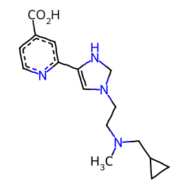 CN(CCN1C=C(c2cc(C(=O)O)ccn2)NC1)CC1CC1